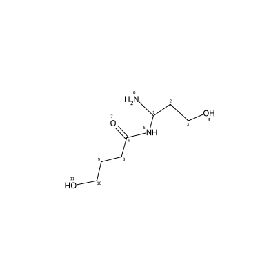 NC(CCO)NC(=O)CCCO